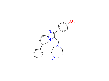 COc1ccc(-c2nc3ccc(-c4ccccc4)cn3c2CN2CCCN(C)CC2)cc1